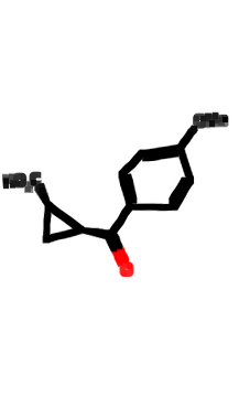 COc1ccc(C(=O)[C@H]2C[C@H]2C(=O)O)cc1